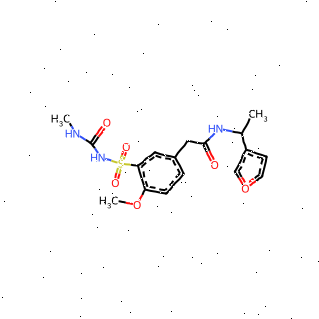 CNC(=O)NS(=O)(=O)c1cc(CC(=O)NC(C)c2ccoc2)ccc1OC